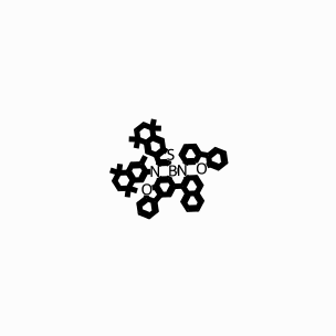 Cc1cc2c(cc1N1c3c(sc4cc5c(cc34)C(C)(C)CCC5(C)C)B3c4c(cc5c(oc6ccccc65)c41)-c1c(ccc4ccccc14)N3c1cccc3c1oc1ccccc13)C(C)(C)CCC2(C)C